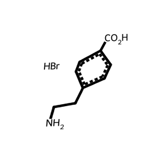 Br.NCCc1ccc(C(=O)O)cc1